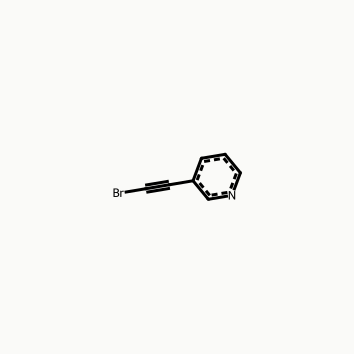 BrC#Cc1cccnc1